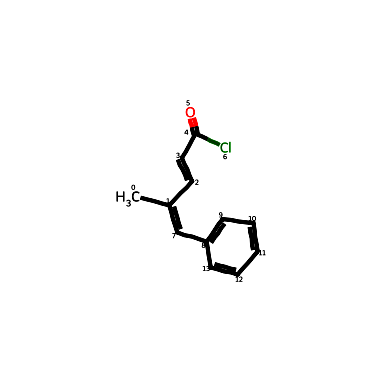 CC(C=CC(=O)Cl)=Cc1ccccc1